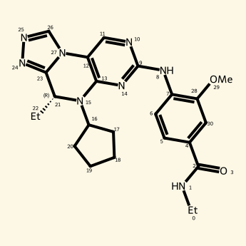 CCNC(=O)c1ccc(Nc2ncc3c(n2)N(C2CCCC2)[C@H](CC)c2nncn2-3)c(OC)c1